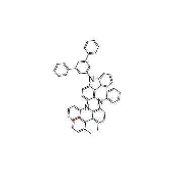 Cc1ccccc1-c1c(C)ccc2c1N(c1ccccc1)c1ccc3c(c1N2c1ccccc1)c1ccccc1n3-c1cc(-c2ccccc2)cc(-c2ccccc2)c1